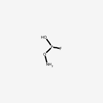 NOP(O)F